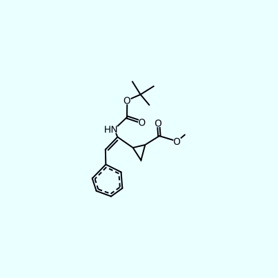 COC(=O)C1CC1/C(=C\c1ccccc1)NC(=O)OC(C)(C)C